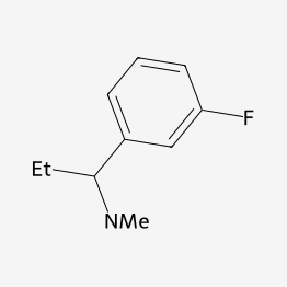 CCC(NC)c1cccc(F)c1